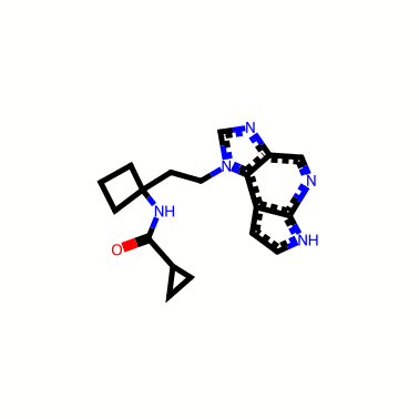 O=C(NC1(CCn2cnc3cnc4[nH]ccc4c32)CCC1)C1CC1